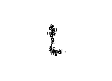 Cc1cc(Nc2ncc(Cl)c(Nc3ccccc3S(=O)(=O)C(C)C)n2)c(OC(C)C)cc1C1CCN(C(=O)CCCCCN2C[C@H](NC(=O)[C@H](CCCc3cccnc3N)NC(=O)OC(C)(C)C)C3(CC3)C2)CC1